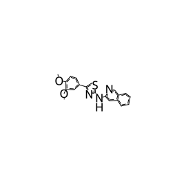 COc1ccc(-c2csc(Nc3cc4ccccc4cn3)n2)cc1OC